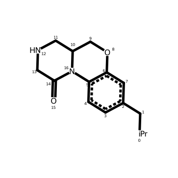 CC(C)Cc1ccc2c(c1)OCC1CNCC(=O)N21